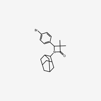 CC1(C)C(=O)N(C2C3CC4CC(C3)CC2C4)C1c1ccc(Br)cc1